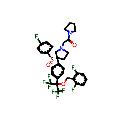 O=C(CN1CCC(c2ccc(C(OCc3c(F)cccc3F)(C(F)(F)F)C(F)(F)F)cc2)([S+]([O-])c2ccc(F)cc2)C1)N1CCCC1